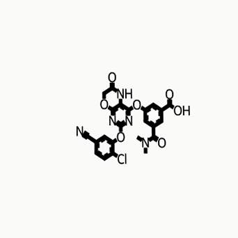 CN(C)C(=O)c1cc(Oc2nc(Oc3cc(C#N)ccc3Cl)nc3c2NC(=O)CO3)cc(C(=O)O)c1